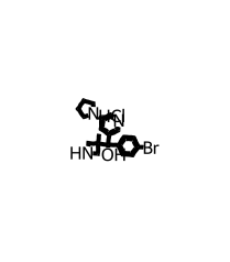 CC1(C(O)(c2ccc(Br)cc2)c2cncc(N3CCCC3)c2)CNC1.Cl